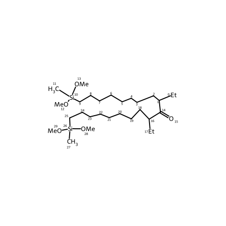 CCC(CCCCCCCC[Si](C)(OC)OC)C(=O)C(CC)CCCCCCCC[Si](C)(OC)OC